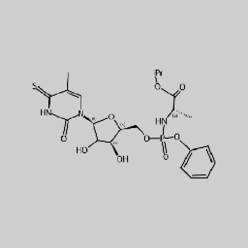 Cc1cn([C@H]2O[C@@H](COP(=O)(N[C@@H](C)C(=O)OC(C)C)Oc3ccccc3)[C@@H](O)C2O)c(=O)[nH]c1=S